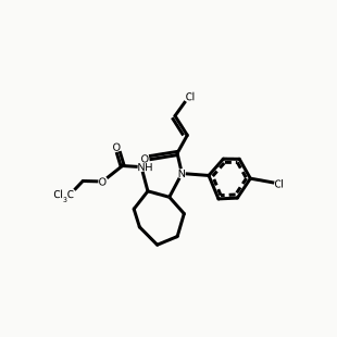 O=C(NC1CCCCCC1N(C(=O)C=CCl)c1ccc(Cl)cc1)OCC(Cl)(Cl)Cl